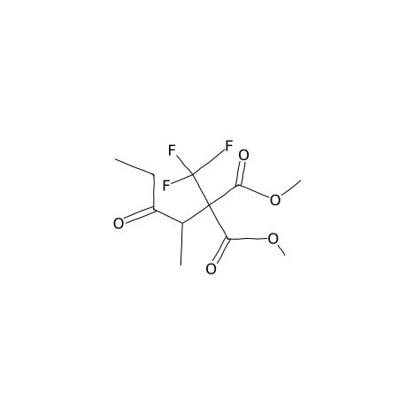 CCC(=O)C(C)C(C(=O)OC)(C(=O)OC)C(F)(F)F